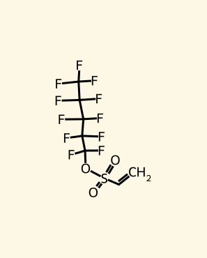 C=CS(=O)(=O)OC(F)(F)C(F)(F)C(F)(F)C(F)(F)C(F)(F)F